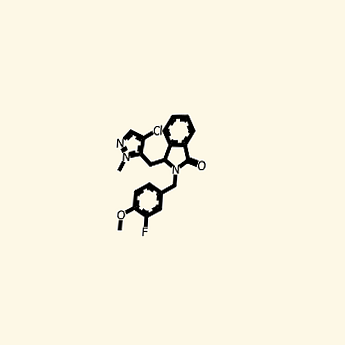 COc1ccc(CN2C(=O)c3ccccc3C2Cc2c(Cl)cnn2C)cc1F